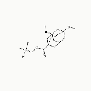 COC12CC3CC(OC)(C1)CC(C(=O)OCC(C)(F)F)(C3)C2